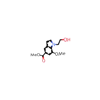 COC(=O)c1cc(OC)c2c(ccn2CCO)c1